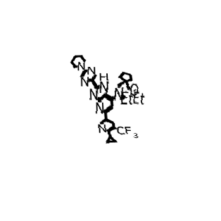 CCOCC1(CN(CC)c2cc(-c3cnc(C4CC4)c(C(F)(F)F)c3)nc3nc(-c4cnc(N5CCCCC5)cn4)[nH]c23)CCCC1